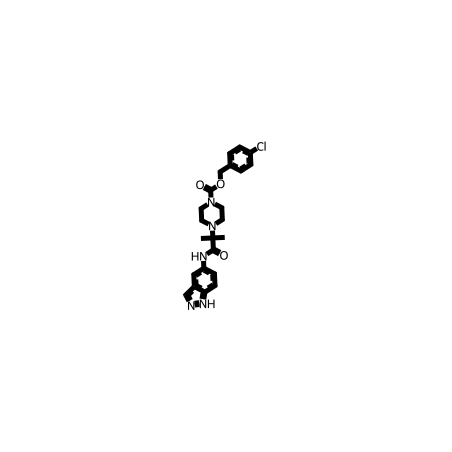 CC(C)(C(=O)Nc1ccc2[nH]ncc2c1)N1CCN(C(=O)OCc2ccc(Cl)cc2)CC1